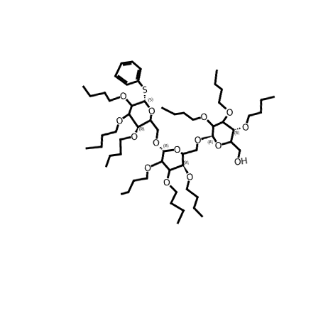 CCCCOC1C(OCCCC)[C@H](OCCCC)C(CO)O[C@H]1OCC1O[C@@H](OCC2O[C@@H](Sc3ccccc3)C(OCCCC)C(OCCCC)[C@@H]2OCCCC)C(OCCCC)C(OCCCC)[C@@H]1OCCCC